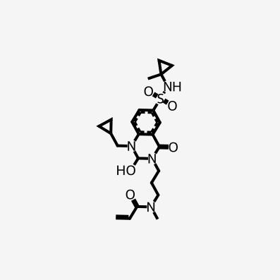 C=CC(=O)N(C)CCCN1C(=O)c2cc(S(=O)(=O)NC3(C)CC3)ccc2N(CC2CC2)C1O